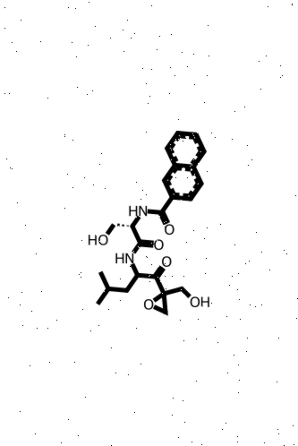 CC(C)CC(NC(=O)[C@H](CO)NC(=O)c1ccc2ccccc2c1)C(=O)C1(CO)CO1